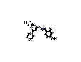 Cc1nc(N/N=C/c2ccc(O)cc2O)cc(N2CCOCC2)n1